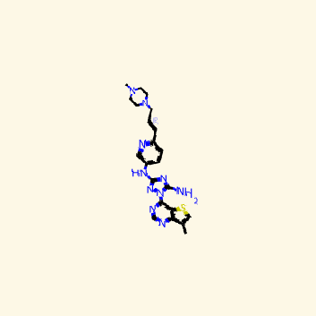 Cc1csc2c(-n3nc(Nc4ccc(/C=C/CN5CCN(C)CC5)nc4)nc3N)ncnc12